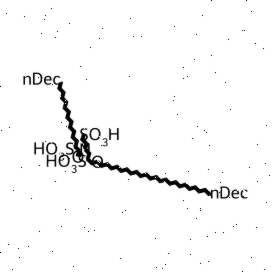 CCCCCCCCCCCCCCCCCCCCCCCCCCCCCCCCCOCC(CN(CCS(=O)(=O)O)C(=O)C(CCCCCCCCCCCCCCCCCCCCCCC)S(=O)(=O)O)S(=O)(=O)O